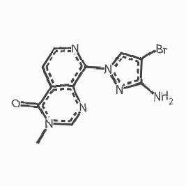 Cn1cnc2c(-n3cc(Br)c(N)n3)nccc2c1=O